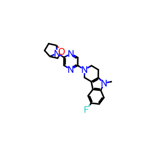 Cn1c2c(c3cc(F)ccc31)CN(c1cnc(N3C4CCC3OC4)cn1)CC2